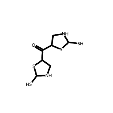 O=C(C1CNC(S)S1)C1CNC(S)S1